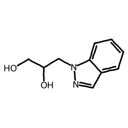 OCC(O)Cn1ncc2ccccc21